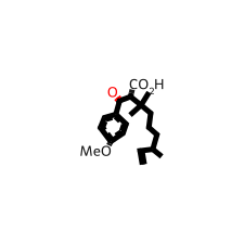 C=CC(C)CCCC(C)(C)C(C(=O)O)C(=O)c1ccc(OC)cc1